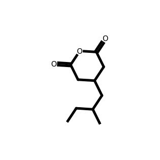 CCC(C)CC1CC(=O)OC(=O)C1